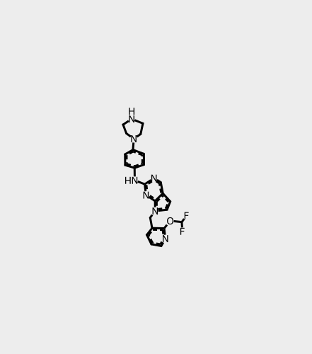 FC(F)Oc1ncccc1Cn1ccc2cnc(Nc3ccc(N4CCNCC4)cc3)nc21